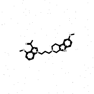 COc1ccc2[nH]c3c(c2c1)CCN(CCCn1cc(C(C)=O)c2c(OC)cccc21)C3